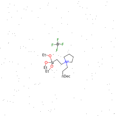 CCCCCCCCCCCC[N+]1(CC[Si](OCC)(OCC)OCC)CCCC1.F[B-](F)(F)F